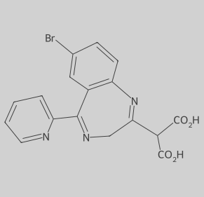 O=C(O)C(C(=O)O)C1=Nc2ccc(Br)cc2C(c2ccccn2)=NC1